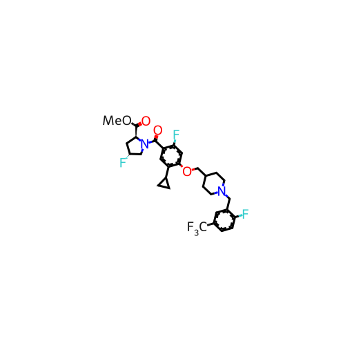 COC(=O)[C@@H]1C[C@@H](F)CN1C(=O)c1cc(C2CC2)c(OCC2CCN(Cc3cc(C(F)(F)F)ccc3F)CC2)cc1F